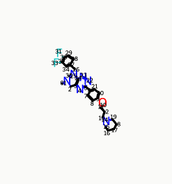 CN1Cc2nc(-c3ccc(OCCCN4CCCCC4)cc3)nnc2N(Cc2ccc(F)c(F)c2)C1